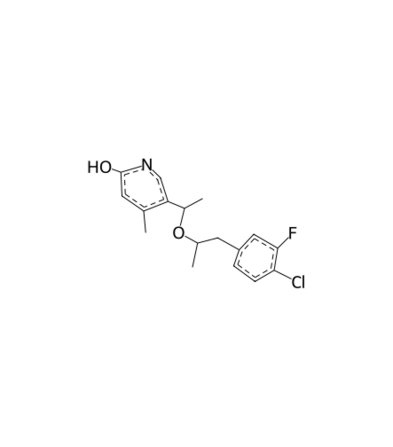 Cc1cc(O)ncc1C(C)OC(C)Cc1ccc(Cl)c(F)c1